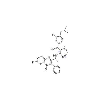 C=C(C)/C(C(=N)c1ccc(CC(C)C)c(F)c1)=C(\N=C/C)NC(C)c1nc2ccc(F)cc2c(=O)n1-c1ccccc1